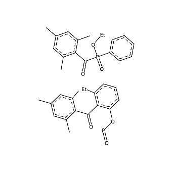 CCOP(=O)(C(=O)c1c(C)cc(C)cc1C)c1ccccc1.CCc1cccc(OP=O)c1C(=O)c1c(C)cc(C)cc1C